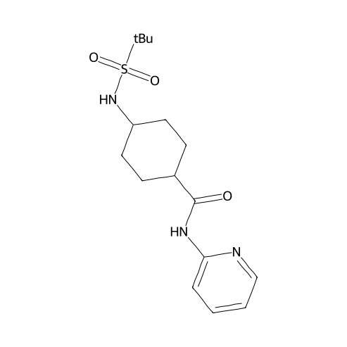 CC(C)(C)S(=O)(=O)NC1CCC(C(=O)Nc2ccccn2)CC1